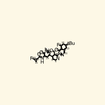 Cn1nc(-c2ccnc(-n3ncc4cc(C(C)(C)C)cc(F)c4c3=O)c2CO)cc(NC(=O)C2CC2F)c1=O